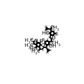 CC(CC1Oc2c(F)cc(C(C)C3Cc4c(O)c(C(C)C5CC5)cc(F)c4O3)c(O)c2C1C1CC1)c1cc(F)c2c(c1O)C(C)C(C)O2